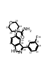 NC(=O)[N+]1(c2ccc3[nH]nc(-c4cccc(F)c4)c3c2)CCOCC1